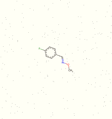 CO/N=[C]/c1ccc(F)cc1